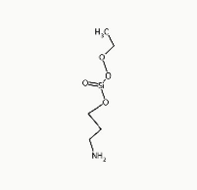 CCOO[Si](=O)OCCCN